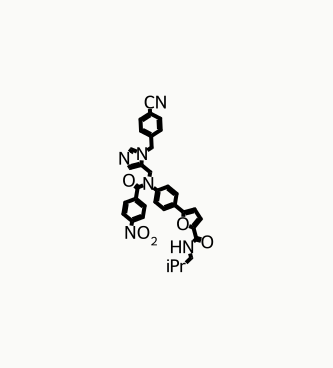 CC(C)CNC(=O)c1ccc(-c2ccc(N(Cc3cncn3Cc3ccc(C#N)cc3)C(=O)c3ccc([N+](=O)[O-])cc3)cc2)o1